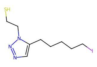 SCCn1nncc1CCCCCI